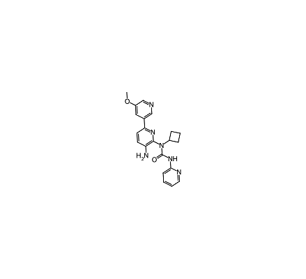 COc1cncc(-c2ccc(N)c(N(C(=O)Nc3ccccn3)C3CCC3)n2)c1